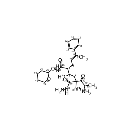 CCCC(C[C@@H](C)[C@H](C/C=C(\C)c1ccccc1)C(=O)NOC1CCCCO1)(C(=O)NN)C(=O)[C@@H](C)N